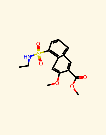 CCNS(=O)(=O)c1cccc2cc(C(=O)OC)c(OC)cc12